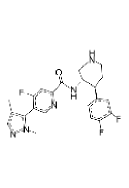 Cc1cnn(C)c1-c1cnc(C(=O)N[C@@H]2CNCC[C@H]2c2ccc(F)c(F)c2)cc1F